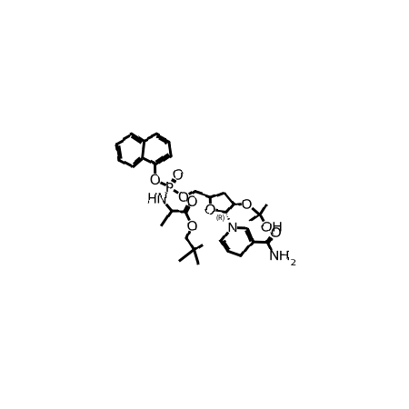 CC(NP(=O)(OCC1CC(OC(C)(C)O)[C@H](N2C=CCC(C(N)=O)=C2)O1)Oc1cccc2ccccc12)C(=O)OCC(C)(C)C